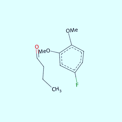 CCCC=O.COc1ccc(F)cc1OC